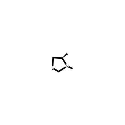 C[C@@H]1CSCN1I